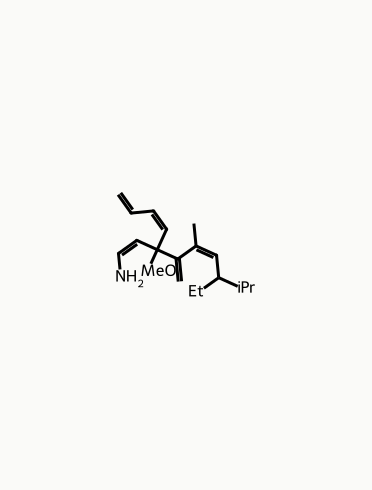 C=C/C=C\C(/C=C\N)(OC)C(=C)/C(C)=C\C(CC)C(C)C